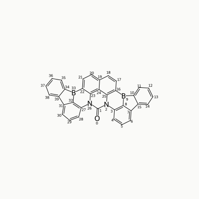 O=C1N2c3cccc4c3B(c3ccccc3-4)c3ccc4ccc5c(c4c32)N1c1cccc2c1B5c1ccccc1-2